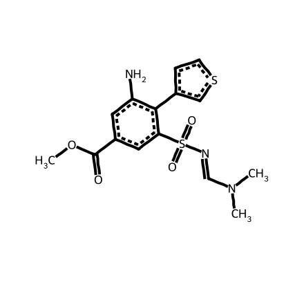 COC(=O)c1cc(N)c(-c2ccsc2)c(S(=O)(=O)N=CN(C)C)c1